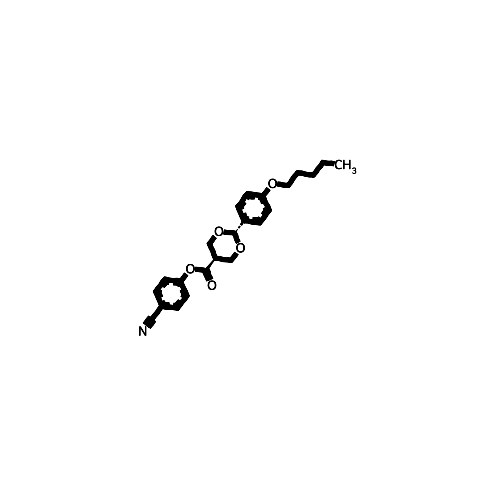 CCCCCOc1ccc([C@H]2OC[C@H](C(=O)Oc3ccc(C#N)cc3)CO2)cc1